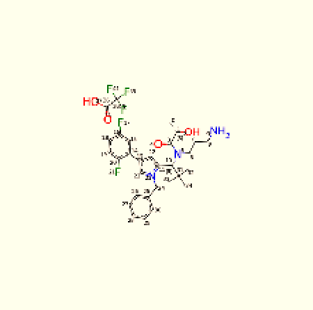 C[C@H](O)C(=O)N(CCCN)[C@@H](c1cc(-c2cc(F)ccc2F)cn1Cc1ccccc1)C(C)(C)C.O=C(O)C(F)(F)F